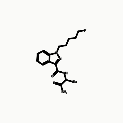 CC(C)(C)C(NC(=O)c1nn(CCCCCF)c2ccccc12)C(N)=O